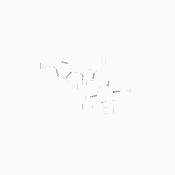 C=C1OC(C)(C)C(=O)C(c2nc(-c3ccc(Br)cc3C)sc2C)C1=O